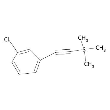 C[Si](C)(C)C#Cc1cccc(Cl)c1